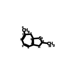 CC1=CC=CC2=C(C1)SC(C)C2